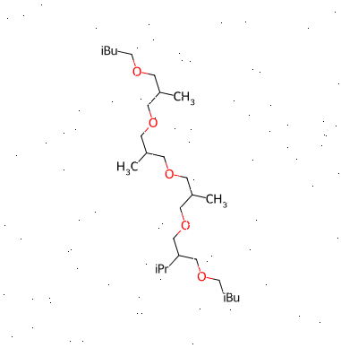 CCC(C)COCC(C)COCC(C)COCC(C)COCC(COCC(C)CC)C(C)C